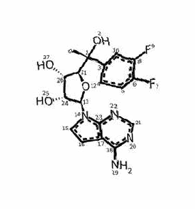 C[C@@](O)(c1ccc(F)c(F)c1)[C@H]1O[C@@H](n2ccc3c(N)ncnc32)[C@H](O)[C@@H]1O